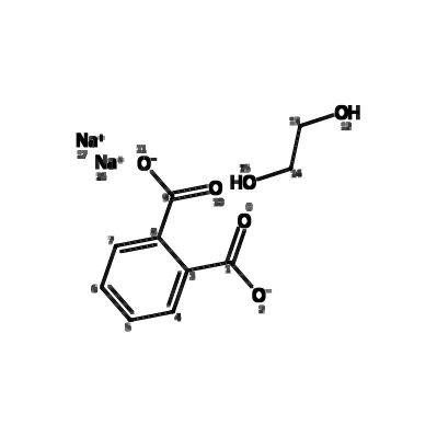 O=C([O-])c1ccccc1C(=O)[O-].OCCO.[Na+].[Na+]